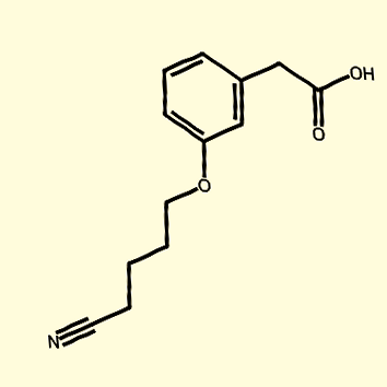 N#CCCCCOc1cccc(CC(=O)O)c1